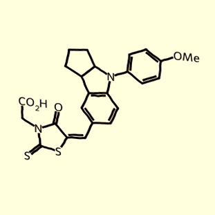 COc1ccc(N2c3ccc(C=C4SC(=S)N(CC(=O)O)C4=O)cc3C3CCCC32)cc1